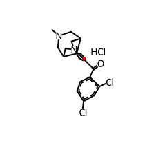 CN1CC2CN(C(=O)c3ccc(Cl)cc3Cl)CC(C1)C21CCCCC1.Cl